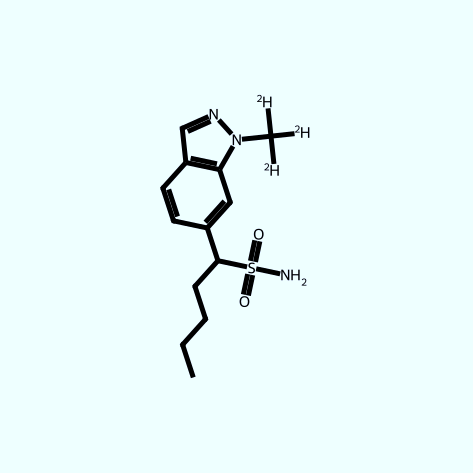 [2H]C([2H])([2H])n1ncc2ccc(C(CCCC)S(N)(=O)=O)cc21